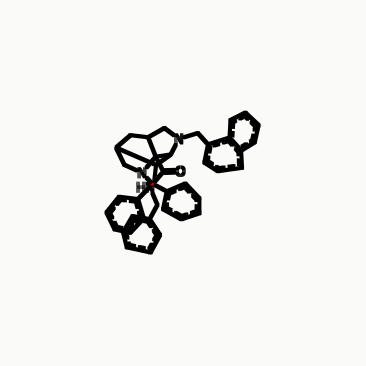 O=C(NCc1ccccc1)C12C3CC(CN1Cc1ccccc1)C(Cc1ccccc1)C2N(Cc1cccc2ccccc12)C3